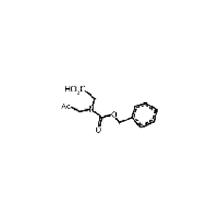 CC(=O)CN(CC(=O)O)C(=O)OCc1ccccc1